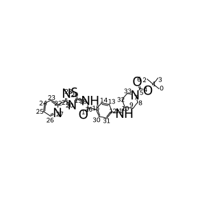 CC(C)(C)OC(=O)N1CCC(Nc2ccc(C(=O)Nc3nc(-c4ccccn4)ns3)cc2)CC1